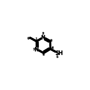 Cc1ncc(S)cn1